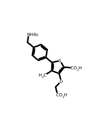 CC(=O)NCc1ccc(-c2sc(C(=O)O)c(OCC(=O)O)c2C)cc1